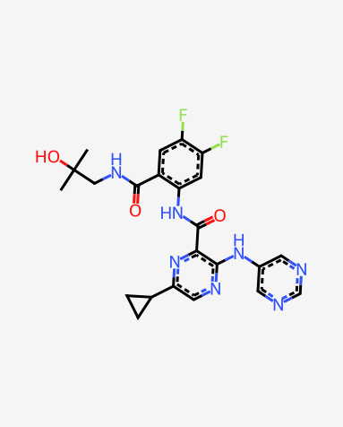 CC(C)(O)CNC(=O)c1cc(F)c(F)cc1NC(=O)c1nc(C2CC2)cnc1Nc1cncnc1